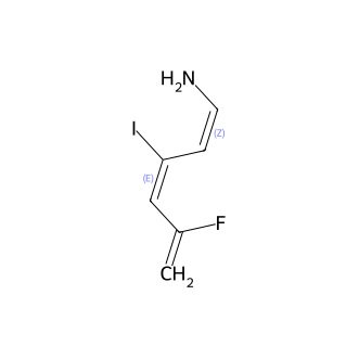 C=C(F)/C=C(I)\C=C/N